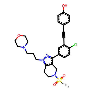 CS(=O)(=O)N1CCc2c(c(-c3ccc(Cl)c(C#Cc4ccc(O)cc4)c3)nn2CCCN2CCOCC2)C1